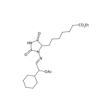 CCOC(=O)CCCCCCC1C(=O)NC(=O)N1N=CC(OC(C)=O)C1CCCCC1